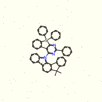 CC1(C)c2ccccc2-c2c1ccc1c3ccccc3n(-c3nc(-c4ccccc4)nc4c3-c3ccccc3[Si]4(c3ccccc3)c3ccccc3)c21